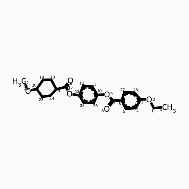 CCOc1ccc(C(=O)Oc2ccc(OC(=O)C3CCC(OC)CC3)cc2)cc1